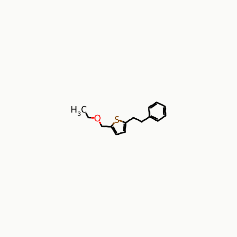 CCOCc1ccc(CCc2ccccc2)s1